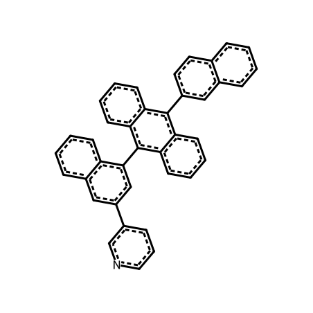 c1cncc(-c2cc(-c3c4ccccc4c(-c4ccc5ccccc5c4)c4ccccc34)c3ccccc3c2)c1